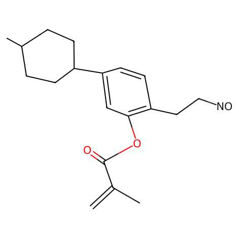 C=C(C)C(=O)Oc1cc(C2CCC(C)CC2)ccc1CCN=O